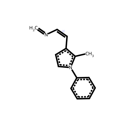 C=N/C=C\c1ccn(-c2ccccc2)c1C